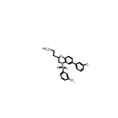 O=C(O)CCC1CN(S(=O)(=O)c2cccc(C(F)(F)F)c2)c2cc(-c3cccc(Cl)c3)ccc2O1